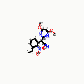 CCc1cccc(C(C#N)c2nc(OC)cc(OC)n2)c1[N+](=O)[O-]